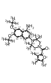 [2H]c1oc(C(=O)N2CC([2H])([2H])N(c3nc(N)c4cc(OC([2H])([2H])[2H])c(OC([2H])([2H])[2H])cc4n3)C([2H])([2H])C2)c([2H])c1[2H]